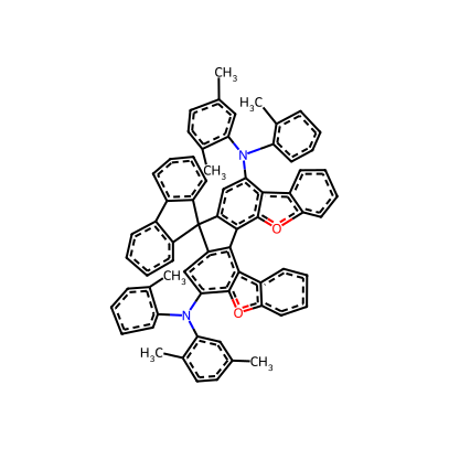 Cc1ccc(C)c(N(c2ccccc2C)c2cc3c(c4c2oc2ccccc24)-c2c(cc(N(c4ccccc4C)c4cc(C)ccc4C)c4c2oc2ccccc24)C32c3ccccc3-c3ccccc32)c1